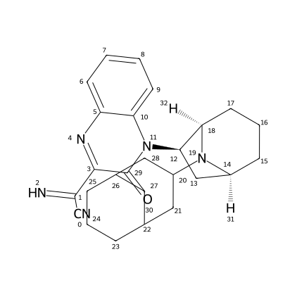 N#CC(=N)c1nc2ccccc2n([C@@H]2C[C@@H]3CCC[C@H]2N3C2CC3CCCC(C3)C2)c1=O